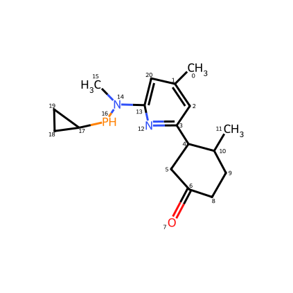 Cc1cc(C2CC(=O)CCC2C)nc(N(C)PC2CC2)c1